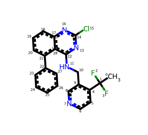 CC(F)(F)c1ccncc1CNc1nc(Cl)nc2cccc(-c3ccccc3)c12